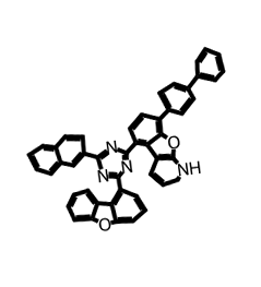 C1=Cc2c(oc3c(-c4ccc(-c5ccccc5)cc4)ccc(-c4nc(-c5ccc6ccccc6c5)nc(-c5cccc6oc7ccccc7c56)n4)c23)NC1